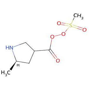 C[C@@H]1CC(C(=O)OOS(C)(=O)=O)CN1